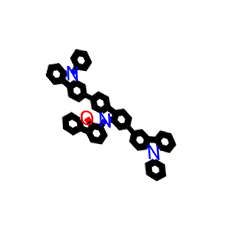 c1ccc(-n2c3ccccc3c3cc(-c4ccc5c6ccc(-c7ccc8c9ccccc9n(-c9ccccc9)c8c7)cc6n(-c6cccc7c6oc6ccccc67)c5c4)ccc32)cc1